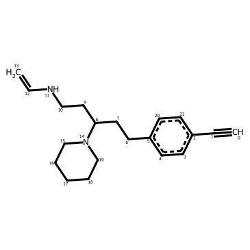 C#Cc1ccc(CCC(CCNC=C)N2CCCCC2)cc1